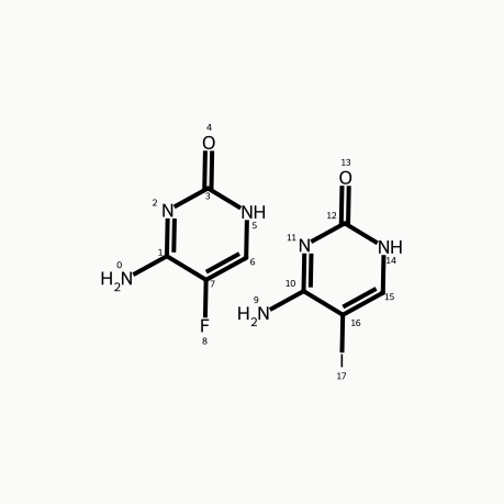 Nc1nc(=O)[nH]cc1F.Nc1nc(=O)[nH]cc1I